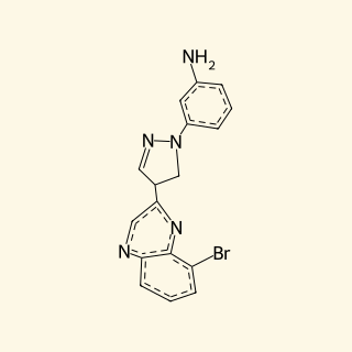 Nc1cccc(N2CC(c3cnc4cccc(Br)c4n3)C=N2)c1